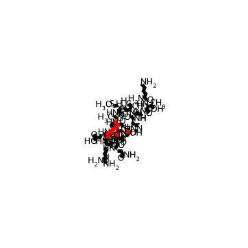 CSCC[C@H](NC(=O)[C@@H](NC(=O)[C@H](Cc1cnc[nH]1)NC(=O)CNC(=O)[C@@H](NC(=O)[C@@H](N)CCCCN)[C@@H](C)O)C(C)C)C(=O)N[C@@H](C)C(=O)N[C@@H](CCCCN)C(=O)N[C@@H](CS)C(=O)N1CCC[C@H]1C(=O)N[C@@H](CCC(=O)O)C(=O)N[C@@H](CCCN=C(N)N)C(=O)N[C@@H](CCC(N)=O)C(=O)N[C@@H](C)C(=O)NCC(=O)O